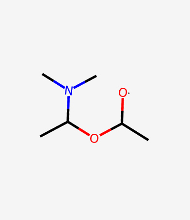 CC([O])OC(C)N(C)C